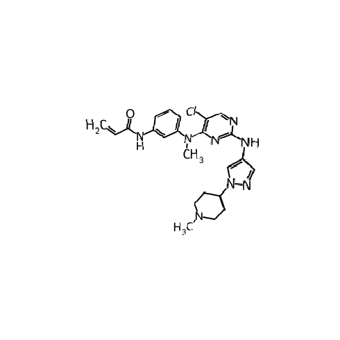 C=CC(=O)Nc1cccc(N(C)c2nc(Nc3cnn(C4CCN(C)CC4)c3)ncc2Cl)c1